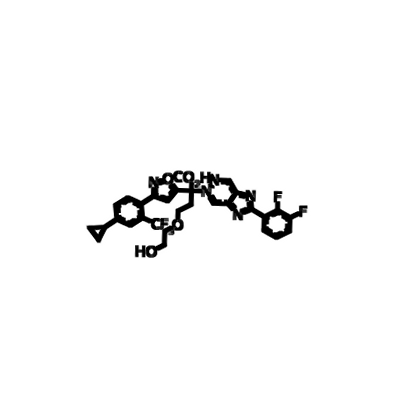 O=C(O)C(CCOCCO)(c1cc(-c2ccc(C3CC3)cc2C(F)(F)F)no1)n1cc2nc(-c3cccc(F)c3F)nc-2cn1